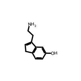 NCCC1=CCc2ccc(O)cc21